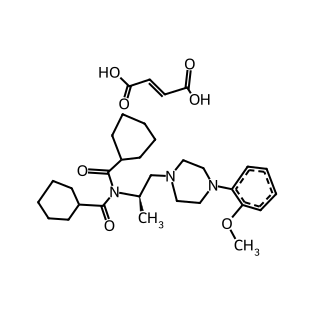 COc1ccccc1N1CCN(C[C@@H](C)N(C(=O)C2CCCCC2)C(=O)C2CCCCC2)CC1.O=C(O)/C=C/C(=O)O